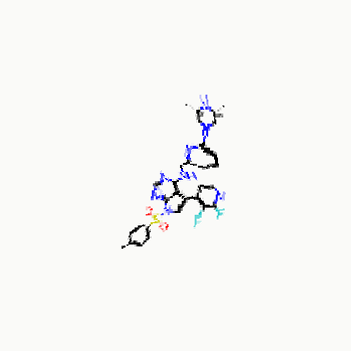 Cc1ccc(S(=O)(=O)n2cc(-c3ccnc(F)c3F)c3c(NCc4cccc(N5C[C@@H](C)N[C@@H](C)C5)n4)ncnc32)cc1